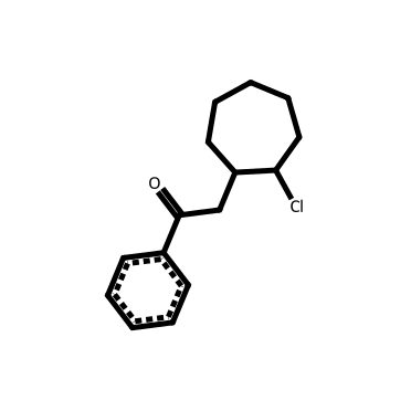 O=C(CC1CCCCCC1Cl)c1ccccc1